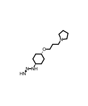 N=NN[C@H]1CC[C@H](OCCCN2CCCC2)CC1